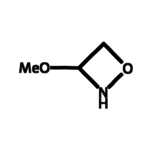 COC1CON1